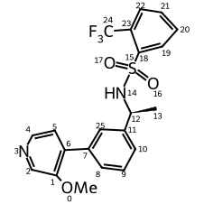 COc1cnccc1-c1cccc([C@H](C)NS(=O)(=O)c2ccccc2C(F)(F)F)c1